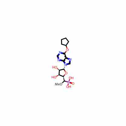 COC([C@@H]1O[C@@H](n2cnc3c(OC4CCCC4)ncnc32)[C@H](O)[C@@H]1O)P(=O)(O)O